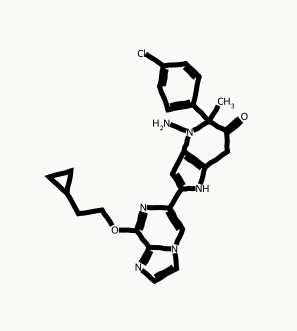 CC1(c2ccc(Cl)cc2)C(=O)Cc2[nH]c(-c3cn4ccnc4c(OCCC4CC4)n3)cc2N1N